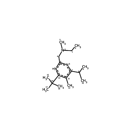 CCN(C)Cc1nc(C(C)C)c(C)c(C(C)(C)C)n1